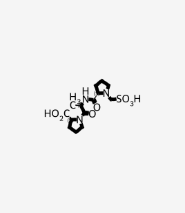 C[C@H](NC(=O)[C@@H]1CCCN1CS(=O)(=O)O)C(=O)N1CCC[C@H]1C(=O)O